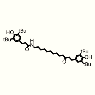 CC(C)(C)c1cc(CCC(=O)CCCCCCCCCCNC(=O)CCc2cc(C(C)(C)C)c(O)c(C(C)(C)C)c2)cc(C(C)(C)C)c1O